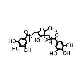 CC1O[C@H](CNC(=O)c2cc(O)c(O)c(O)c2)[C@@H](O)[C@]1(O)CNC(=O)c1cc(O)c(O)c(O)c1